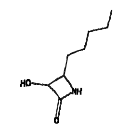 CCCCCC1NC(=O)C1O